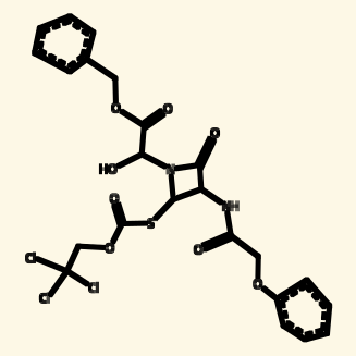 O=C(COc1ccccc1)NC1C(=O)N(C(O)C(=O)OCc2ccccc2)C1SC(=O)OCC(Cl)(Cl)Cl